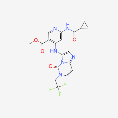 COC(=O)c1cnc(NC(=O)C2CC2)cc1Nc1cnc2ccn(CC(F)(F)F)c(=O)n12